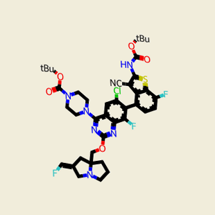 CC(C)(C)OC(=O)Nc1sc2c(F)ccc(-c3c(Cl)cc4c(N5CCN(C(=O)OC(C)(C)C)CC5)nc(OCC56CCCN5C/C(=C\F)C6)nc4c3F)c2c1C#N